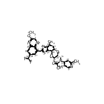 COc1cnc2c(-c3nc4c(C)cc5c(c4s3)OC[C@@H](CN(C(=O)O)c3ccnc(C)c3)O5)cc(C(F)F)cc2n1